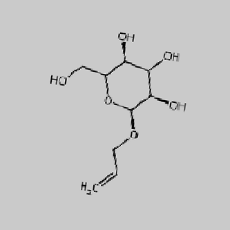 C=CCO[C@H]1OC(CO)[C@@H](O)C(O)[C@H]1O